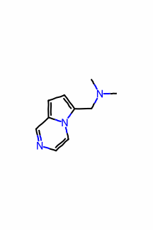 CN(C)Cc1ccc2cnccn12